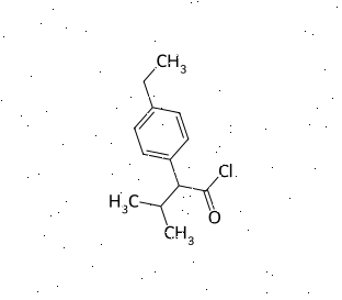 CCc1ccc(C(C(=O)Cl)C(C)C)cc1